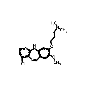 COc1cc2c(cc1OCCCN(C)C)Nc1nccc(Cl)c1N=C2